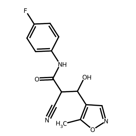 Cc1oncc1C(O)C(C#N)C(=O)Nc1ccc(F)cc1